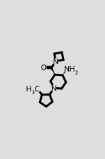 CC1CCCC1N1CC[C@@H](N)[C@H](C(=O)N2CCC2)C1